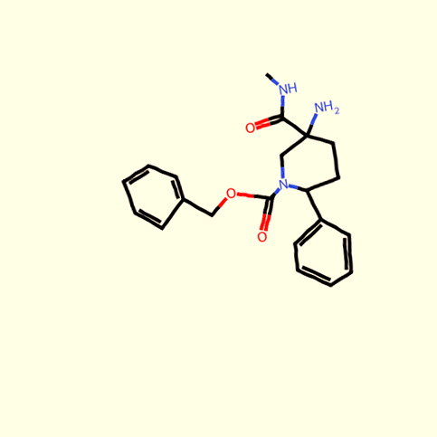 CNC(=O)C1(N)CCC(c2ccccc2)N(C(=O)OCc2ccccc2)C1